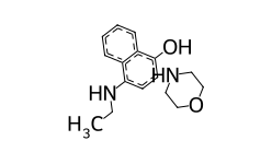 C1COCCN1.CCNc1ccc(O)c2ccccc12